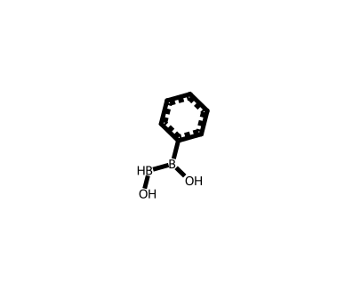 OBB(O)c1ccccc1